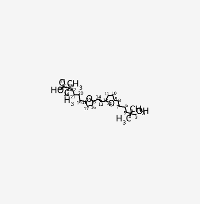 CC(C)(CO)CCCCC1CCC(C=CC2CCC(CCCCC(C)(C)C(=O)O)O2)O1